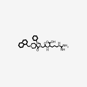 N=C(N)NCCCC(NC(=O)CN1CN(c2ccccc2)C2(CCN(Cc3cccc4ccccc34)CC2)C1=O)C(=O)O